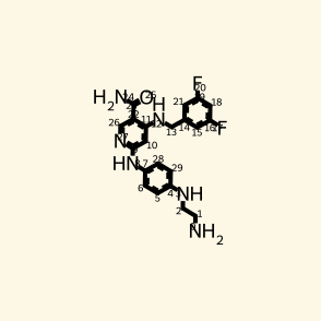 NCCNc1ccc(Nc2cc(NCc3cc(F)cc(F)c3)c(C(N)=O)cn2)cc1